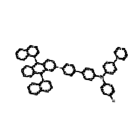 Fc1ccc(N(c2ccc(-c3ccccc3)cc2)c2ccc(-c3ccc(-c4ccc5c(-c6cccc7ccccc67)c6ccccc6c(-c6cccc7ccccc67)c5c4)cc3)cc2)cc1